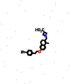 CC1=C(CN2CC(C(=O)O)C2)CCc2cc(OCCc3ccc(C(C)C)cc3)ccc21